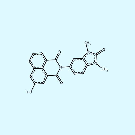 Cn1c(=O)n(C)c2cc(N3C(=O)c4cccc5cc(O)cc(c45)C3=O)ccc21